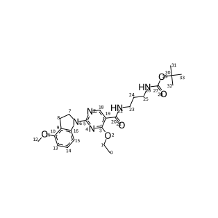 CCOc1nc(N2CCc3c(OC)cccc32)ncc1C(=O)NCCCNC(=O)OC(C)(C)C